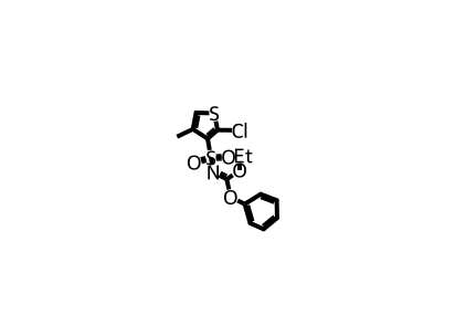 CCOC(=NS(=O)(=O)c1c(C)csc1Cl)Oc1ccccc1